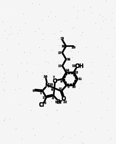 C=C1C(Cl)=C(Br)C2(Oc3c(ccc(O)c3CCCC(C)C)C2=O)N1C